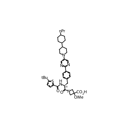 CCCC1CCC(C2CCN(c3cnc(-c4ccc(C[C@H](NC(=O)c5ccc(C(C)(C)C)s5)C(=O)N5CC(OC)(C(=O)O)C5)cc4)nc3)CC2)CC1